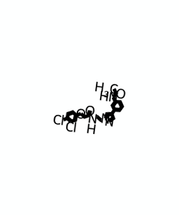 CC(=O)Nc1cccc(-c2cnn(CCNC(=O)COc3ccc(Cl)c(Cl)c3)c2)c1